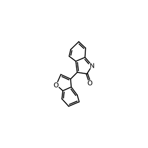 O=C1N=c2ccccc2=C1c1coc2ccccc12